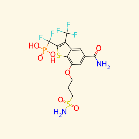 NC(=O)c1cc(OCCCS(N)(=O)=O)c2sc(C(F)(F)P(=O)(O)O)c(C(F)(F)F)c2c1